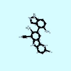 Cc1ccc2[nH]ncc2c1-c1cc2c(oc3ccc(F)nc32)c(C#N)c1N